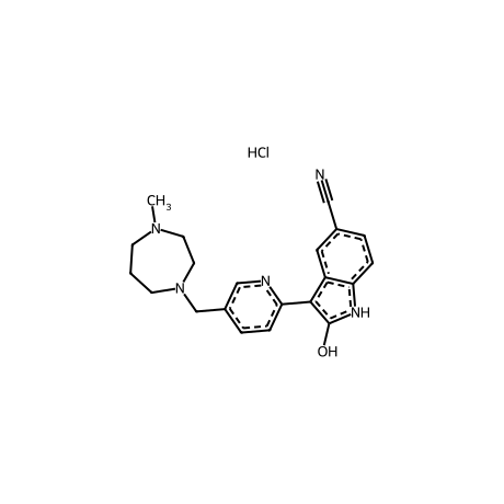 CN1CCCN(Cc2ccc(-c3c(O)[nH]c4ccc(C#N)cc34)nc2)CC1.Cl